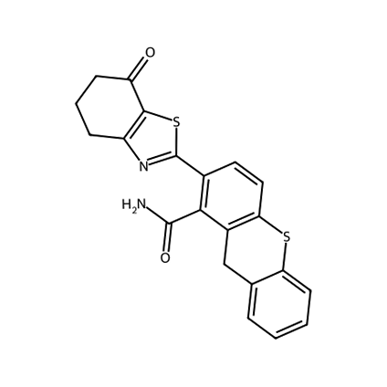 NC(=O)c1c(-c2nc3c(s2)C(=O)CCC3)ccc2c1Cc1ccccc1S2